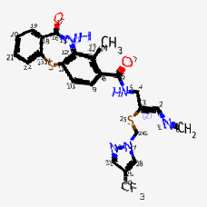 C=N/C=C(/CNC(=O)c1ccc2c(c1C)NC(=O)c1ccccc1S2)SCn1cc(C(F)(F)F)cn1